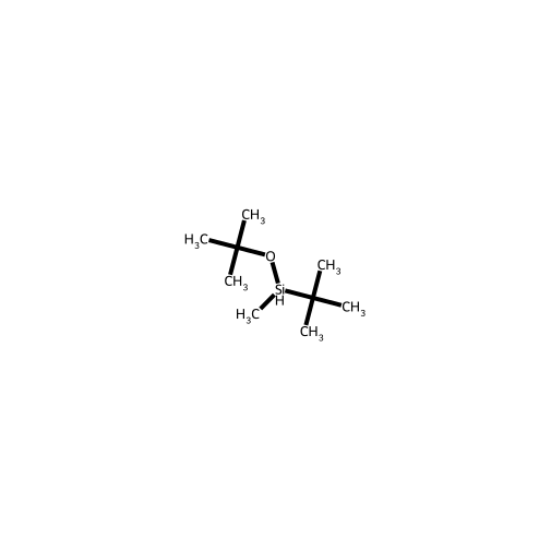 C[SiH](OC(C)(C)C)C(C)(C)C